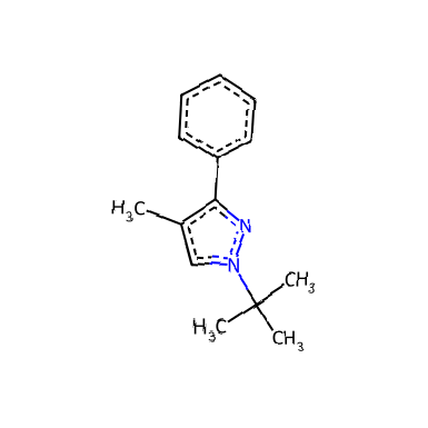 Cc1cn(C(C)(C)C)nc1-c1ccccc1